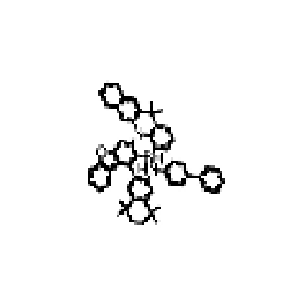 CC1(C)CCC(C)(C)c2cc(-c3c4c(cc5oc6ccccc6c35)N3c5cc6ccccc6cc5C(C)(C)c5cccc(c53)B4)c(Nc3ccc(-c4ccccc4)cc3)cc21